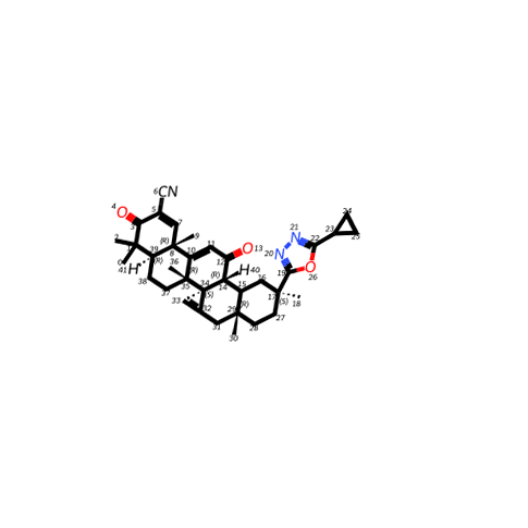 CC1(C)C(=O)C(C#N)=C[C@]2(C)C3=CC(=O)[C@@H]4C5C[C@@](C)(c6nnc(C7CC7)o6)CC[C@]5(C)CC5=C[C@@]54[C@]3(C)CC[C@@H]12